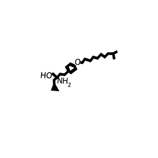 CC(C)CCCCCCCCOc1ccc(CC[C@@](N)(CO)CC2CC2)cc1